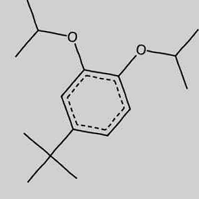 CC(C)Oc1ccc(C(C)(C)C)cc1OC(C)C